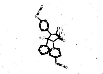 CC(=O)C(c1ccc(N=C=O)cc1)C(C)(c1ccccc1)C(C(C)=O)c1ccc(N=C=O)cc1